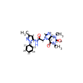 Cc1cc(NC(=O)Cn2cnc3c2c(=O)n(C)c(=O)n3C)n(-c2ccccc2)n1